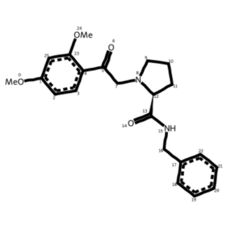 COc1ccc(C(=O)CN2CCC[C@H]2C(=O)NCc2ccccc2)c(OC)c1